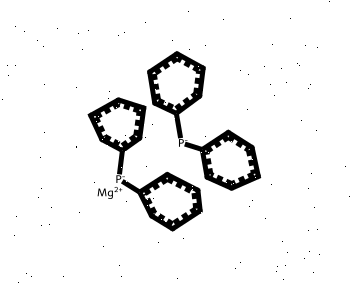 [Mg+2].c1ccc([P-]c2ccccc2)cc1.c1ccc([P-]c2ccccc2)cc1